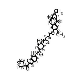 COc1cc2c(cc1OCCCC(=O)N[C@H]1CC[C@H](C(=O)Nc3ccc4cc(C(=O)N5CCSCC5)oc4c3)CC1)N=C[C@@H]1CC(C)CN1C2=O